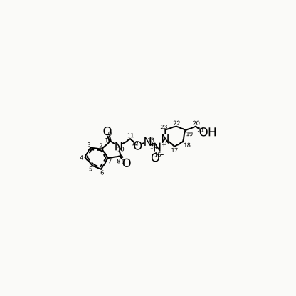 O=C1c2ccccc2C(=O)N1CON=[N+]([O-])N1CCC(CO)CC1